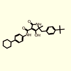 CC1(Cc2ccc(C(C)(C)C)cc2)NC(=O)C(C(=O)Nc2ccc(C3CCCCC3)cc2)=C1O